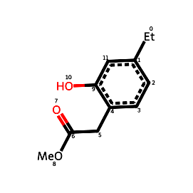 CCc1ccc(CC(=O)OC)c(O)c1